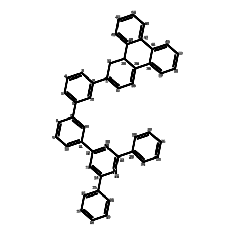 C1=C(c2cccc(-c3cccc(-c4cc(-c5ccccc5)nc(-c5ccccc5)n4)c3)c2)CC2C(=C1)c1ccccc1-c1ccccc12